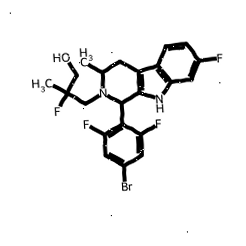 CC1Cc2c([nH]c3cc(F)ccc23)C(c2c(F)cc(Br)cc2F)N1CC(C)(F)CO